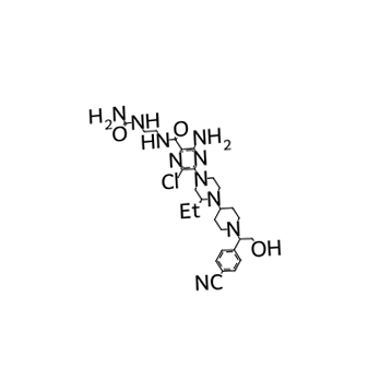 CC[C@H]1CN(c2nc(N)c(C(=O)NCCNC(N)=O)nc2Cl)CCN1C1CCN(C(CO)c2ccc(C#N)cc2)CC1